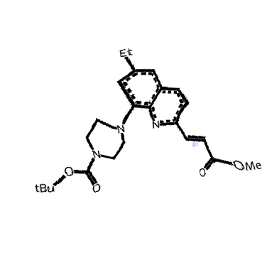 CCc1cc(N2CCN(C(=O)OC(C)(C)C)CC2)c2nc(/C=C/C(=O)OC)ccc2c1